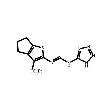 CCOC(=O)c1c(/N=C/Nc2nnn[nH]2)sc2c1CCC2